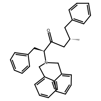 C[C@H](CC(=O)[C@H](Cc1ccccc1)N(Cc1ccccc1)Cc1ccccc1)Cc1ccccc1